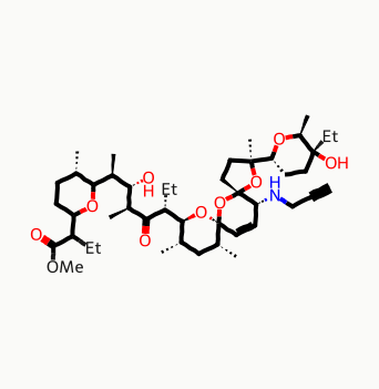 C#CCN[C@@H]1C=C[C@]2(O[C@H]([C@@H](CC)C(=O)[C@@H](C)[C@@H](O)[C@H](C)C3OC(C(CC)C(=O)OC)CC[C@@H]3C)[C@@H](C)C[C@H]2C)O[C@@]12CC[C@@](C)([C@H]1CC[C@](O)(CC)[C@H](C)O1)O2